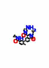 Cc1ccc(C(=O)NC2CC2)cc1-c1ccc2c(=O)n(CC3CC3)cc(C(=O)N3CC[C@H](N)C3)c2c1